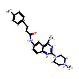 CCCc1ccc(CCC(=O)Nc2ccc3nc(N4CCN(C)CC4)nc(C)c3c2)cc1